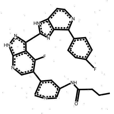 CCCC(=O)Nc1cncc(-c2cnc3[nH]nc(-c4nc5c(-c6ccc(F)cc6)nccc5[nH]4)c3c2F)c1